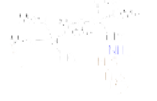 CCC[Si](OC)(OC)OC.CCC[Si](OC)(OC)OC.N.S.S.S.S